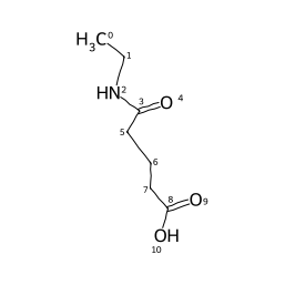 CCNC(=O)CCCC(=O)O